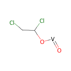 [O]=[V][O]C(Cl)CCl